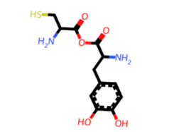 NC(CS)C(=O)OC(=O)C(N)Cc1ccc(O)c(O)c1